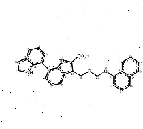 O=C(O)c1[nH]c2c(-c3cccc4cc[nH]c34)cccc2c1CCCOc1cccc2ccccc12